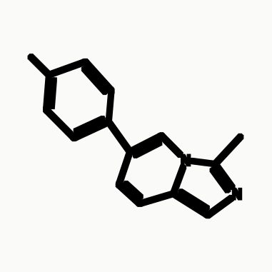 Cc1ccc(-c2ccc3cnc(C)n3c2)cc1